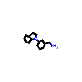 NCc1cccc(-n2ccc3ccccc32)c1